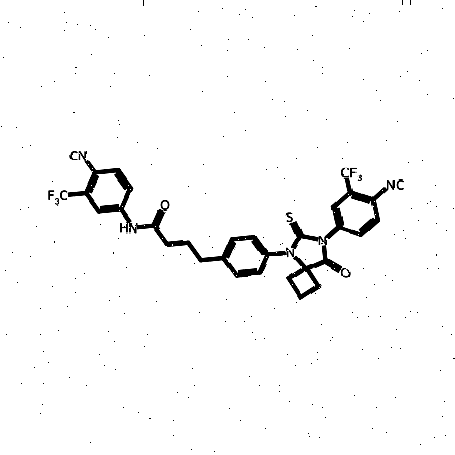 [C-]#[N+]c1ccc(NC(=O)CCCc2ccc(N3C(=S)N(c4ccc([N+]#[C-])c(C(F)(F)F)c4)C(=O)C34CCC4)cc2)cc1C(F)(F)F